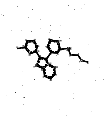 COCCNc1cc(-c2c(-c3cccc(C)c3)nc3cccnn23)ccn1